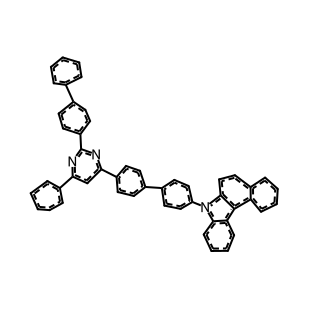 c1ccc(-c2ccc(-c3nc(-c4ccccc4)cc(-c4ccc(-c5ccc(-n6c7ccccc7c7c8ccccc8ccc76)cc5)cc4)n3)cc2)cc1